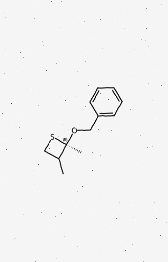 CC1CS[C@@]1(C)OCc1ccccc1